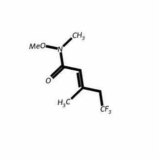 CON(C)C(=O)/C=C(\C)CC(F)(F)F